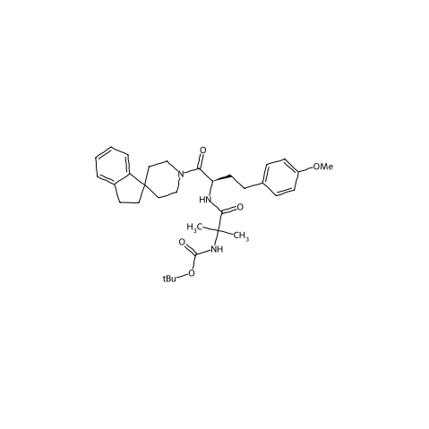 COc1ccc(CC[C@@H](NC(=O)C(C)(C)NC(=O)OC(C)(C)C)C(=O)N2CCC3(CCc4ccccc43)CC2)cc1